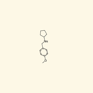 COc1ccc(CNC2CCCC2)cc1